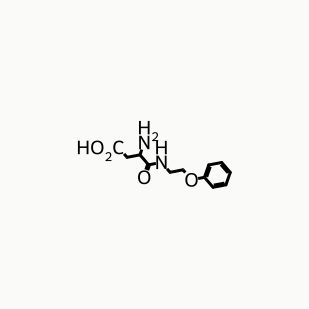 NC(CC(=O)O)C(=O)NCCOc1ccccc1